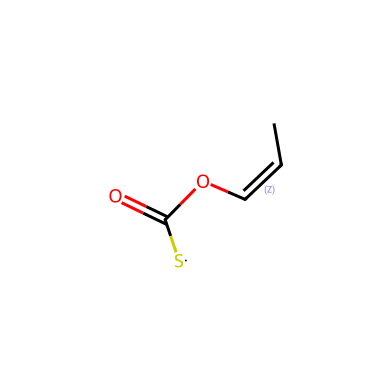 C/C=C\OC(=O)[S]